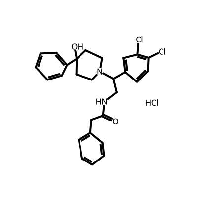 Cl.O=C(Cc1ccccc1)NCC(c1ccc(Cl)c(Cl)c1)N1CCC(O)(c2ccccc2)CC1